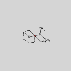 CNCN1C2CC1CN(N(C)C)C2